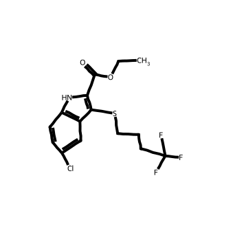 CCOC(=O)c1[nH]c2ccc(Cl)cc2c1SCCCC(F)(F)F